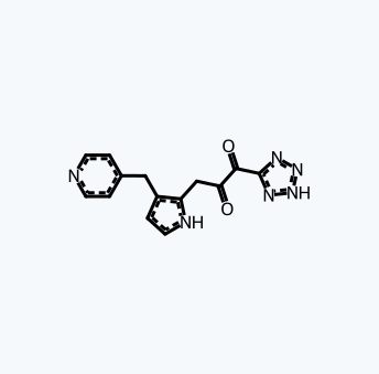 O=C(Cc1[nH]ccc1Cc1ccncc1)C(=O)c1nn[nH]n1